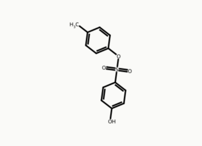 Cc1ccc(OS(=O)(=O)c2ccc(O)cc2)cc1